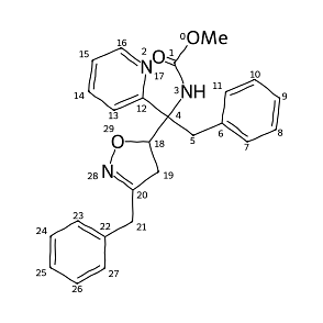 COC(=O)NC(Cc1ccccc1)(c1ccccn1)C1CC(Cc2ccccc2)=NO1